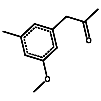 COc1cc(C)cc(CC(C)=O)c1